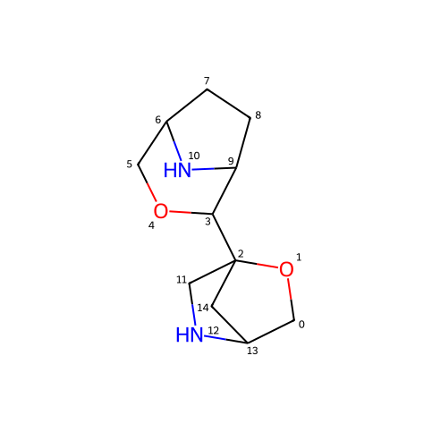 C1OC2(C3OCC4CCC3N4)CNC1C2